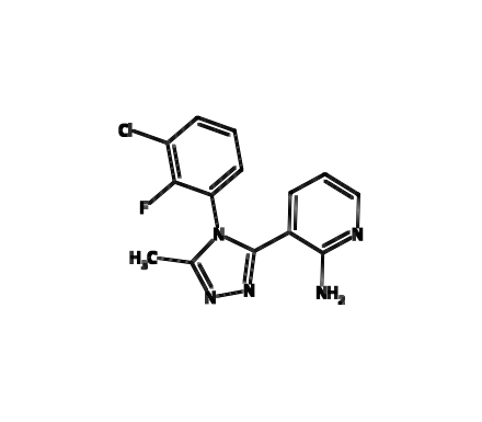 Cc1nnc(-c2cccnc2N)n1-c1cccc(Cl)c1F